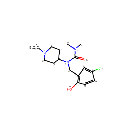 CCOC(=O)N1CCC(N(Cc2cc(Cl)ccc2O)C(=O)N(C)C)CC1